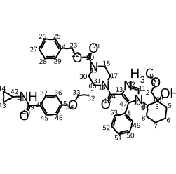 COC[C@]1(O)CCCC[C@H]1n1cnc(C(=O)N2CCN(C(=O)OCc3ccccc3)C[C@H]2CCOc2ccc(C(=O)NC3CC3)cc2)c1-c1ccccc1